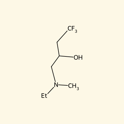 CCN(C)CC(O)CC(F)(F)F